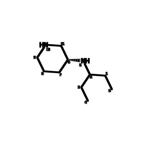 CCC(CC)N[C@@H]1CCCNC1